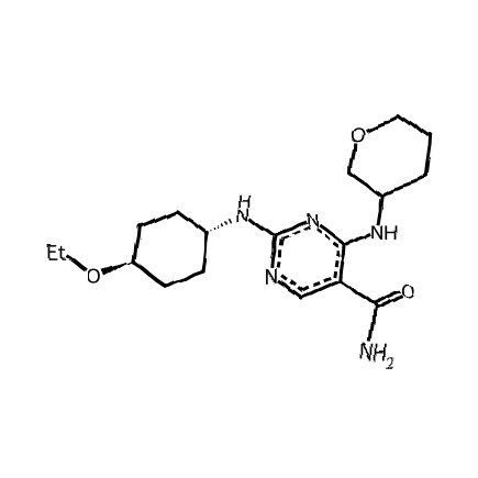 CCO[C@H]1CC[C@H](Nc2ncc(C(N)=O)c(NC3CCCOC3)n2)CC1